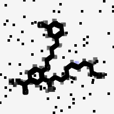 CCN(CC[C@@H](C)C/C=C/C[C@H](C)CS)c1cc(C(N)=O)ccc1OCCCCc1cccc(Cl)c1